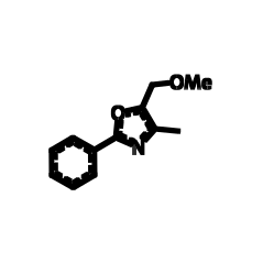 COCc1oc(-c2ccccc2)nc1C